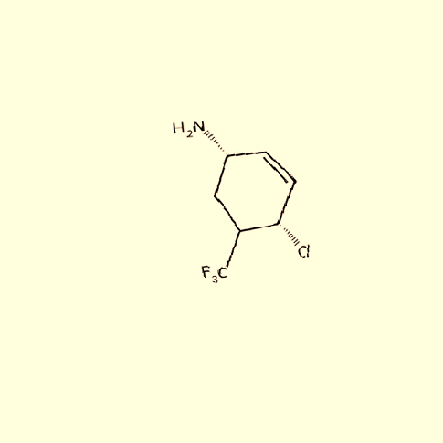 N[C@@H]1C=C[C@H](Cl)C(C(F)(F)F)C1